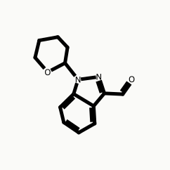 O=Cc1nn(C2CCCCO2)c2ccccc12